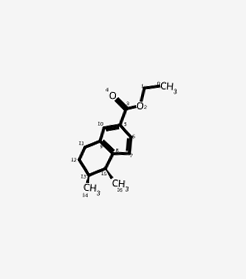 CCOC(=O)c1ccc2c(c1)CC[C@H](C)[C@@H]2C